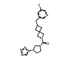 O=C(N1CC[C@@H](n2cnnn2)C1)N1CC2(CC(Cc3cncc(F)c3)C2)C1